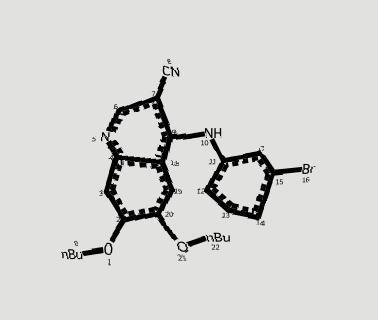 CCCCOc1cc2ncc(C#N)c(Nc3cccc(Br)c3)c2cc1OCCCC